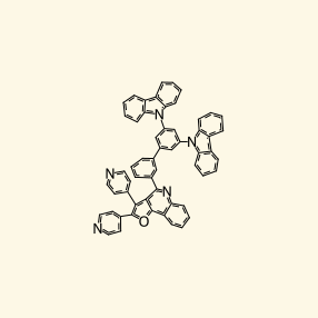 c1cc(-c2cc(-n3c4ccccc4c4ccccc43)cc(-n3c4ccccc4c4ccccc43)c2)cc(-c2nc3ccccc3c3oc(-c4ccncc4)c(-c4ccncc4)c23)c1